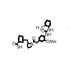 COc1cc(CC(=O)N2CCCC2Cc2cccc(C(=O)S)c2)ccc1NC(=O)Nc1ccccc1C